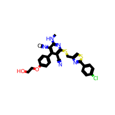 [C-]#[N+]c1c(NC)nc(SCc2csc(-c3ccc(Cl)cc3)n2)c(C#N)c1-c1ccc(OCCO)cc1